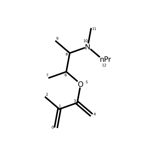 C=C(C)C(=C)OC(C)C(C)N(C)CCC